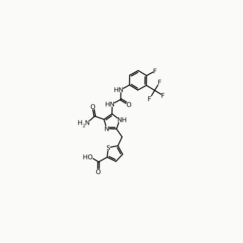 NC(=O)c1nc(Cc2ccc(C(=O)O)s2)[nH]c1NC(=O)Nc1ccc(F)c(C(F)(F)F)c1